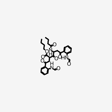 CCCCOC(=O)C(CC(=O)c1ccccc1NC=O)C(=O)C(CC(=O)c1ccccc1NC=O)NC(=O)CCC